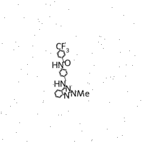 CNc1nc(NCc2ccc(NC(=O)c3ccc(C(F)(F)F)cc3)cc2)c2ccccc2n1